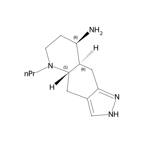 CCCN1CC[C@@H](N)[C@H]2Cc3n[nH]cc3C[C@@H]21